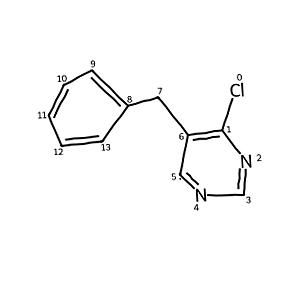 Clc1ncn[c]c1Cc1ccccc1